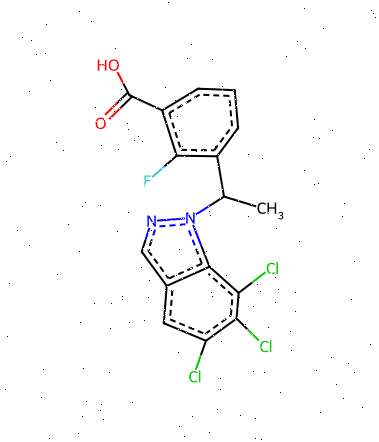 CC(c1cccc(C(=O)O)c1F)n1ncc2cc(Cl)c(Cl)c(Cl)c21